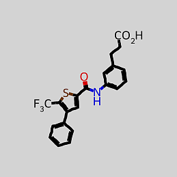 O=C(O)CCc1cccc(NC(=O)c2cc(-c3ccccc3)c(C(F)(F)F)s2)c1